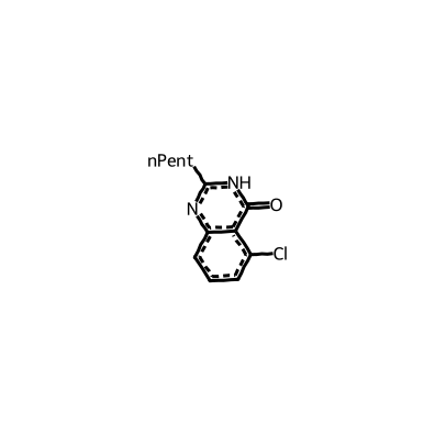 CCCCCc1nc2cccc(Cl)c2c(=O)[nH]1